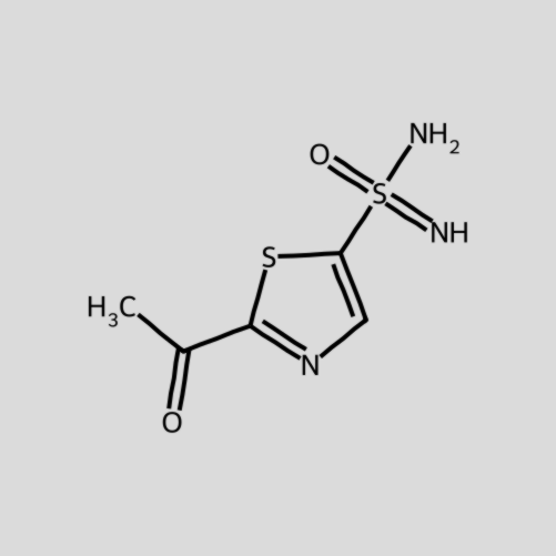 CC(=O)c1ncc(S(=N)(N)=O)s1